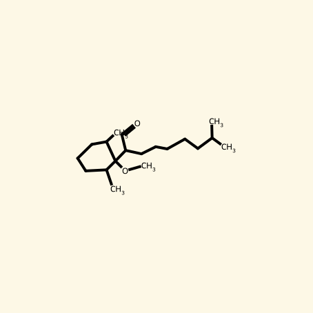 COC1(C(C=O)CCCCCC(C)C)C(C)CCCC1C